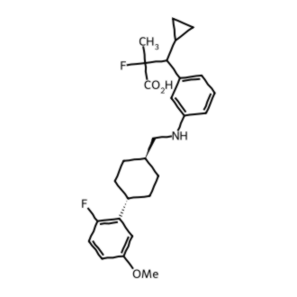 COc1ccc(F)c([C@H]2CC[C@H](CNc3cccc(C(C4CC4)C(C)(F)C(=O)O)c3)CC2)c1